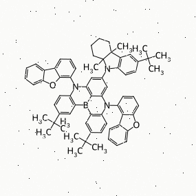 CC(C)(C)c1ccc2c(c1)B1c3cc(C(C)(C)C)ccc3N(c3cccc4oc5ccccc5c34)c3cc(N4c5ccc(C(C)(C)C)cc5C5(C)CCCCC45C)cc(c31)N2c1cccc2c1oc1ccccc12